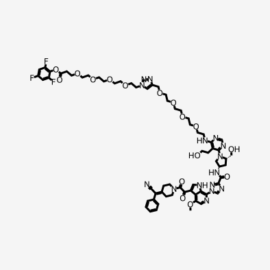 COc1cnc(-n2cnc(C(=O)N[C@H]3C[C@@H](CO)N(c4ncnc(NCCOCCOCCOCCOCc5cn(CCOCCOCCOCCOCCC(=O)Oc6c(F)cc(F)cc6F)nn5)c4CCO)C3)n2)c2[nH]cc(C(=O)C(=O)N3CCC(=C(C#N)c4ccccc4)CC3)c12